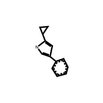 C1=C(c2ccccc2)C=C(C2CC2)[N]1